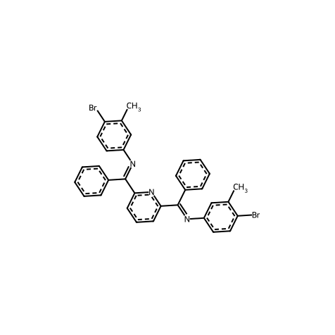 Cc1cc(/N=C(\c2ccccc2)c2cccc(/C(=N/c3ccc(Br)c(C)c3)c3ccccc3)n2)ccc1Br